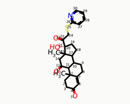 CC12CCC(=O)C=C1CCC1C2C(=O)CC2(C)C1CC[C@]2(O)C(=O)CSc1ccccn1